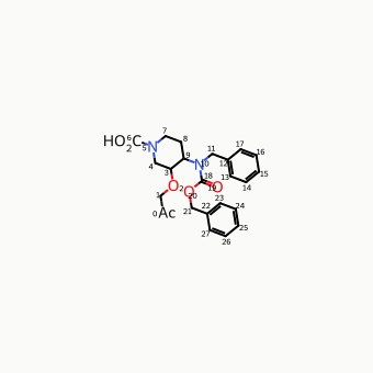 CC(=O)COC1CN(C(=O)O)CCC1N(Cc1ccccc1)C(=O)OCc1ccccc1